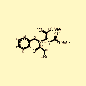 COC(=O)C[C@@H](C(=O)OC)N(Cc1ccccc1)C(=O)CBr